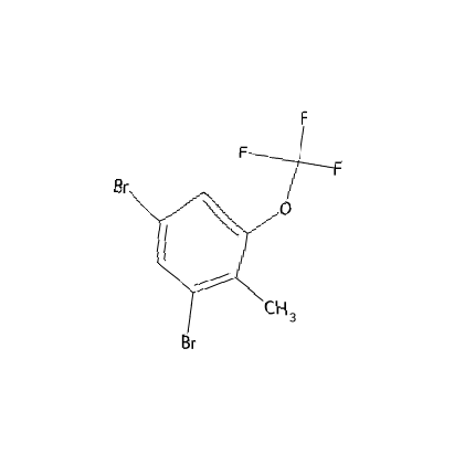 Cc1c(Br)cc(Br)cc1OC(F)(F)F